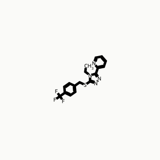 CCn1c(SCc2ccc(C(F)(F)F)cc2)nnc1-c1ccccn1